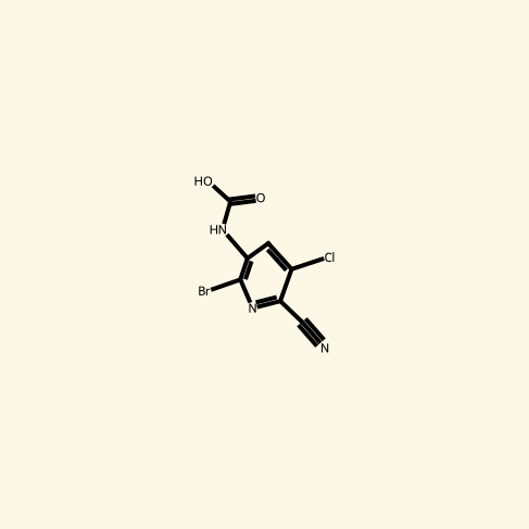 N#Cc1nc(Br)c(NC(=O)O)cc1Cl